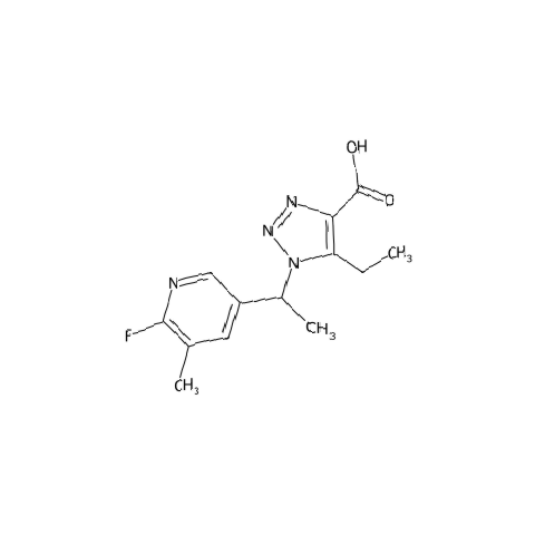 CCc1c(C(=O)O)nnn1C(C)c1cnc(F)c(C)c1